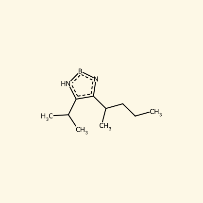 CCCC(C)c1nb[nH]c1C(C)C